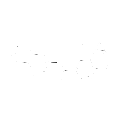 C[C@]12CNc3ncc(C(=O)N[C@H]4COc5ccccc5C4)cc3[C@H]1C2